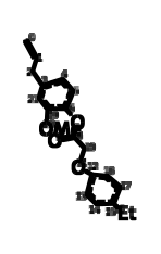 C=CCc1ccc(OC(=O)COc2ccc(CC)cc2)c(OC)c1